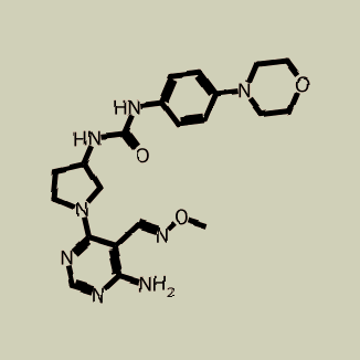 CON=Cc1c(N)ncnc1N1CCC(NC(=O)Nc2ccc(N3CCOCC3)cc2)C1